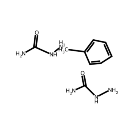 Cc1ccccc1.NNC(N)=O.NNC(N)=O